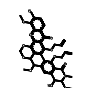 C=CCOc1c2c(cc3c1-c1c4c(c5oc6c(OC)c(Cl)ccc6c(=O)c5c1OCC=C)OCOC4C3OC)C(O)C(OC)N(C)C2=O